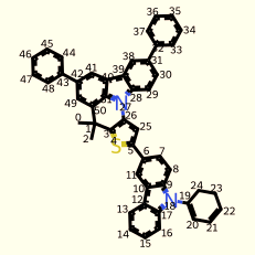 CC1(C)c2sc(-c3ccc4c(c3)c3ccccc3n4C3=CC=CCC3)cc2-n2c3ccc(-c4ccccc4)cc3c3cc(-c4ccccc4)cc1c32